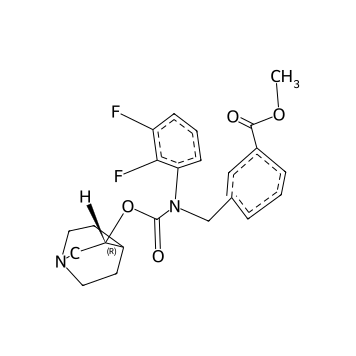 COC(=O)c1cccc(CN(C(=O)O[C@H]2CN3CCC2CC3)c2cccc(F)c2F)c1